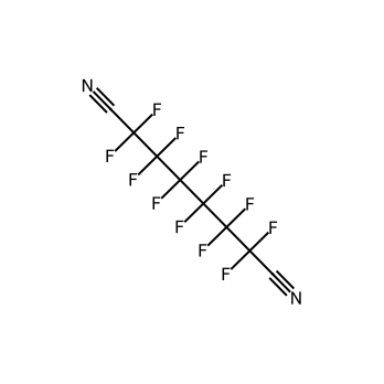 N#CC(F)(F)C(F)(F)C(F)(F)C(F)(F)C(F)(F)C(F)(F)C#N